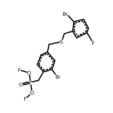 O=P(Cc1ccc(CSCc2cc(F)ccc2Br)cc1Br)(OF)OF